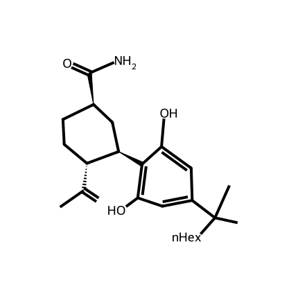 C=C(C)[C@@H]1CC[C@@H](C(N)=O)C[C@H]1c1c(O)cc(C(C)(C)CCCCCC)cc1O